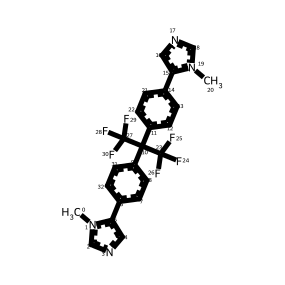 Cn1cncc1-c1ccc(C(c2ccc(-c3cncn3C)cc2)(C(F)(F)F)C(F)(F)F)cc1